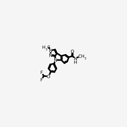 CNC(=O)c1ccc2c(c1)c1cn(C)nc1n2-c1ccc(OC(F)F)cc1